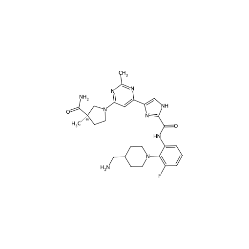 Cc1nc(-c2c[nH]c(C(=O)Nc3cccc(F)c3N3CCC(CN)CC3)n2)cc(N2CC[C@@](C)(C(N)=O)C2)n1